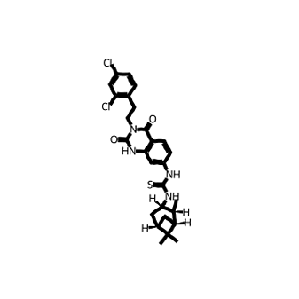 C[C@H]1[C@@H](NC(=S)Nc2ccc3c(=O)n(CCc4ccc(Cl)cc4Cl)c(=O)[nH]c3c2)C[C@@H]2C[C@H]1C2(C)C